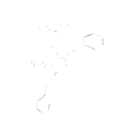 CCCCC(O)CO[C@@H]1[C@@H](NC)[C@H](OCc2ccccc2)C[C@@H]1OCc1ccccc1